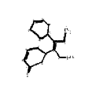 CCC(=C(CC)C1CC=CC(=O)C1)C1CC=CCC1